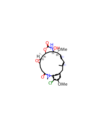 COc1cc2cc(c1Cl)N(C)C(=O)CCC1O[C@H]1[C@H](C)C1C[C@@](O)(NC(=O)O1)[C@H](OC)/C=C/C=C(\C)C2